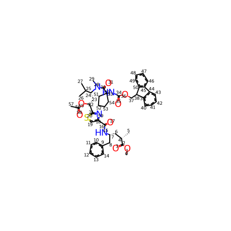 COC(=O)[C@@H](C)C[C@H](Cc1ccccc1)NC(=O)c1csc([C@@H](C[C@H](C(C)C)N(C)C(=O)C2(NC(=O)OCC3c4ccccc4-c4ccccc43)CCCC2)OC(C)=O)n1